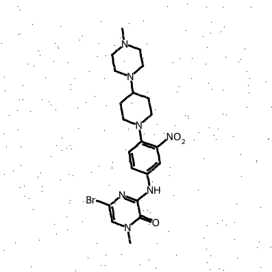 CN1CCN(C2CCN(c3ccc(Nc4nc(Br)cn(C)c4=O)cc3[N+](=O)[O-])CC2)CC1